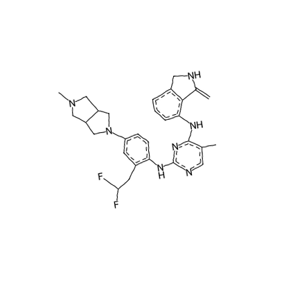 C=C1NCc2cccc(Nc3nc(Nc4ccc(N5CC6CN(C)CC6C5)cc4CC(F)F)ncc3C)c21